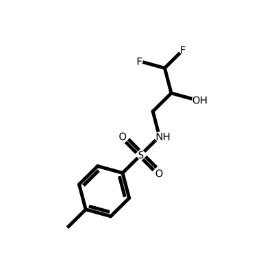 Cc1ccc(S(=O)(=O)NCC(O)C(F)F)cc1